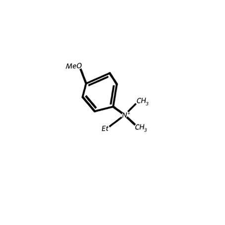 CC[N+](C)(C)c1ccc(OC)cc1